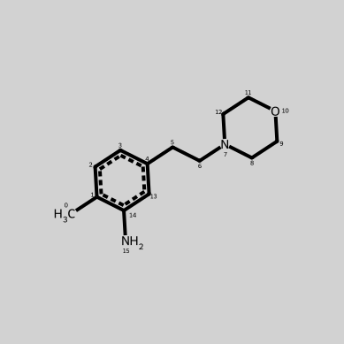 Cc1ccc(CCN2CCOCC2)cc1N